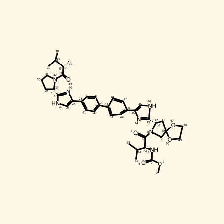 COC(=O)N[C@H](C(=O)N1CC2(C[C@H]1c1nc(-c3ccc(-c4ccc(-c5c[nH]c([C@@H]6CCCN6C(=O)[C@@H](C)C(C)C)n5)cc4)cc3)c[nH]1)OCCO2)C(C)C